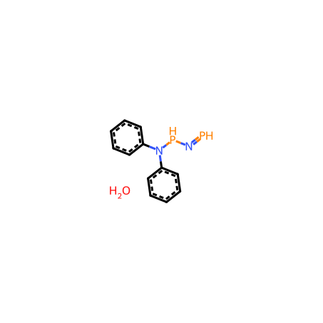 O.P=NPN(c1ccccc1)c1ccccc1